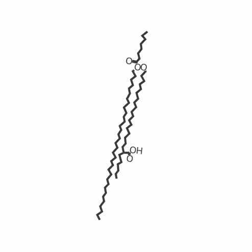 CCCCCCC(CCCCCCCCCCCCCCCCCC=O)C(=O)O.CCCCCCCCCCCCCCCCCCCCCCCCCCCCCCCCCCOC(=O)CCCCCCC